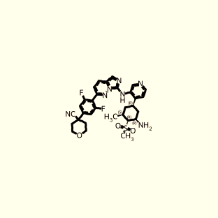 C[C@H]1C[C@@H](c2ccncc2Nc2ncc3ccc(-c4c(F)cc(C5(C#N)CCOCC5)cc4F)nn23)C[C@@H](N)[C@@H]1S(C)(=O)=O